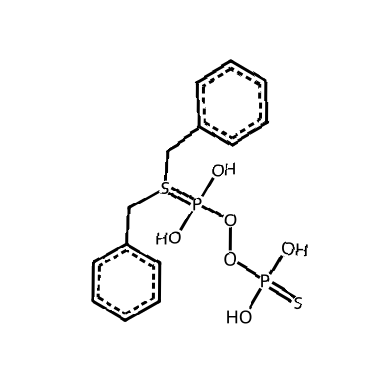 OP(O)(=S)OOP(O)(O)=S(Cc1ccccc1)Cc1ccccc1